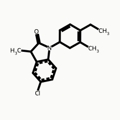 CCC1=C(C)CC(N2C(=O)C(C)c3cc(Cl)ccc32)C=C1